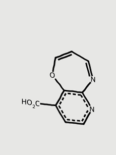 O=C(O)c1ccnc2c1OC=CC=N2